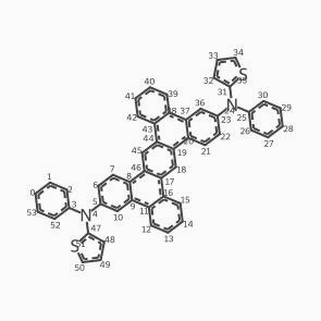 c1ccc(N(c2ccc3c(c2)c2ccccc2c2cc4c5ccc(N(c6ccccc6)c6cccs6)cc5c5ccccc5c4cc32)c2cccs2)cc1